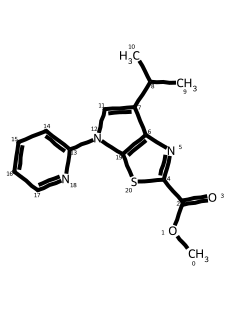 COC(=O)c1nc2c(C(C)C)cn(-c3ccccn3)c2s1